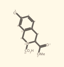 COC(=O)C1Cc2ccc(Cl)cc2CN1C(=O)O